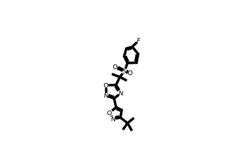 CC(C)(C)c1cc(-c2noc(C(C)(C)S(=O)(=O)c3ccc(F)cc3)n2)on1